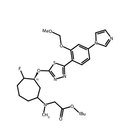 COCOc1cc(-n2ccnc2)ccc1-c1nnc(O[C@H]2CC(N(C)CC(=O)OC(C)(C)C)CCCC2F)s1